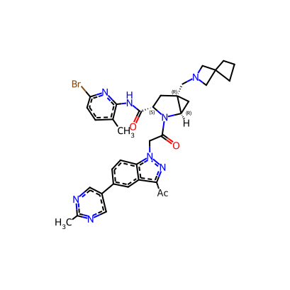 CC(=O)c1nn(CC(=O)N2[C@H](C(=O)Nc3nc(Br)ccc3C)C[C@@]3(CN4CC5(CCC5)C4)C[C@@H]23)c2ccc(-c3cnc(C)nc3)cc12